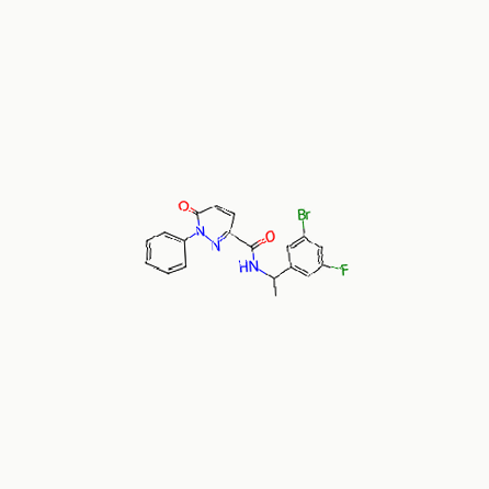 CC(NC(=O)c1ccc(=O)n(-c2ccccc2)n1)c1cc(F)cc(Br)c1